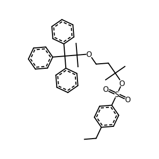 CCc1ccc(S(=O)(=O)OC(C)(C)CCOC(C)(C)C(c2ccccc2)(c2ccccc2)c2ccccc2)cc1